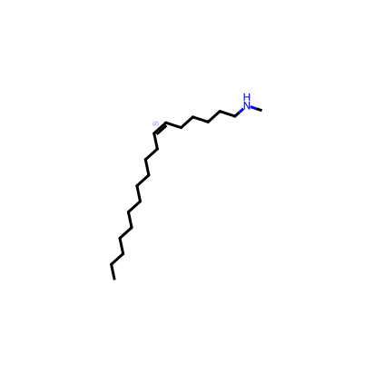 CCCCCCCCCCC/C=C\CCCCCNC